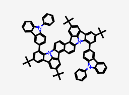 CC(C)(C)c1cc(-c2ccc3c(c2)c2ccccc2n3-c2ccccc2)c2c(c1)c1cc(C(C)(C)C)cc3c4c5ccc6c(c5ccc4n2c13)c1cc(C(C)(C)C)cc2c3cc(C(C)(C)C)cc(-c4ccc5c(c4)c4ccccc4n5-c4ccccc4)c3n6c21